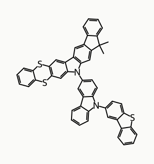 CC1(C)c2ccccc2-c2cc3c4cc5c(cc4n(-c4ccc6c(c4)c4ccccc4n6-c4ccc6sc7ccccc7c6c4)c3cc21)Sc1ccccc1S5